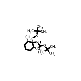 C[C@@H]1CCC[C@H](C)[C@@]1(CSC(C)(C)C)NC(=O)OC(C)(C)C